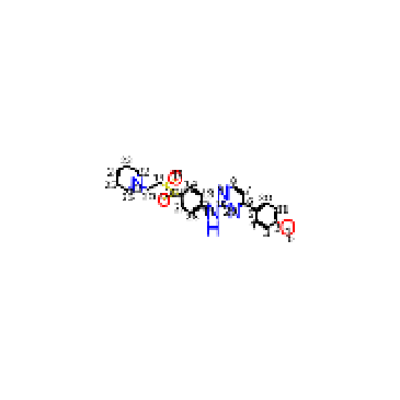 COc1ccc(-c2ccnc(Nc3ccc(S(=O)(=O)CCN4CCCCC4)cc3)n2)cc1